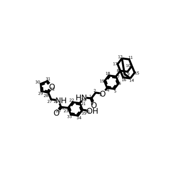 O=C(COc1ccc(C23CC4CC(CC(C4)C2)C3)cc1)Nc1cc(C(=O)NCc2ccco2)ccc1O